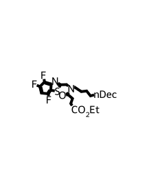 CCCCCCCCCCCCCCN(Cc1nc2c(F)c(F)cc(F)c2s1)C(=O)CCC(=O)OCC